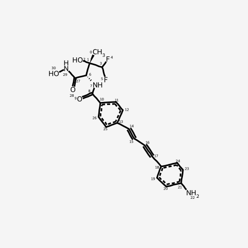 C[C@@](O)(C(F)F)[C@H](NC(=O)c1ccc(C#CC#Cc2ccc(N)cc2)cc1)C(=O)NO